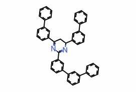 c1ccc(-c2cccc(C3=NC(c4cccc(-c5cccc(-c6ccccc6)c5)c4)=NC(c4cccc(-c5ccccc5)c4)C3)c2)cc1